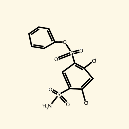 NS(=O)(=O)c1cc(S(=O)(=O)Oc2ccccc2)c(Cl)cc1Cl